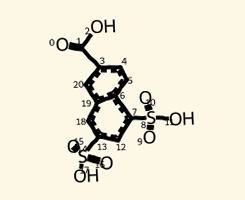 O=C(O)c1ccc2c(S(=O)(=O)O)cc(S(=O)(=O)O)cc2c1